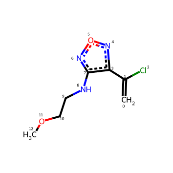 C=C(Cl)c1nonc1NCCOC